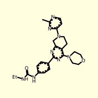 CCNC(=O)Nc1ccc(-c2nc3c(c(N4CCOCC4)n2)CCN(c2ccnc(C)n2)C3)cc1